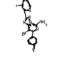 Nc1nc(-c2ccc(F)cc2)c(Br)c2nc(Cc3ncccc3F)nn12